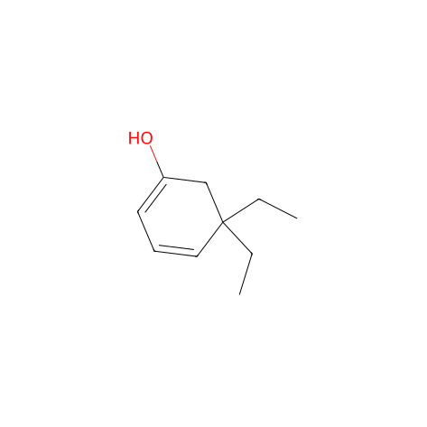 CCC1(CC)C=CC=C(O)C1